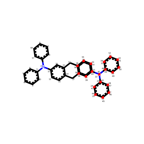 c1ccc(N(c2ccccc2)c2ccc3c(c2)C2c4ccc(N(c5ccccc5)c5ccccc5)cc4C3c3cc(N(c4ccccc4)c4ccccc4)ccc32)cc1